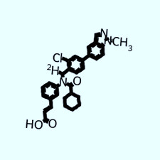 [2H]C(c1ccc(-c2ccc3c(cnn3C)c2)cc1Cl)N(C(=O)C1CCCCC1)c1cccc(/C=C/C(=O)O)c1